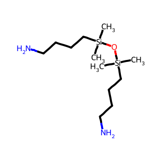 C[Si](C)(CCCCN)O[Si](C)(C)CCCCN